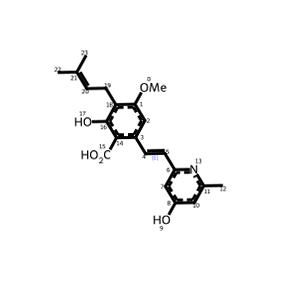 COc1cc(/C=C/c2cc(O)cc(C)n2)c(C(=O)O)c(O)c1CC=C(C)C